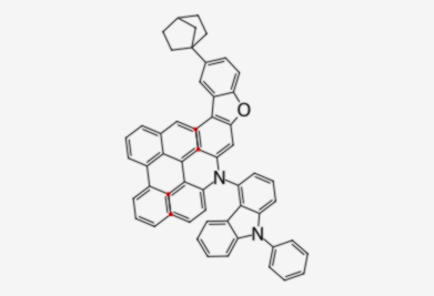 c1ccc(-c2cccc3cccc(-c4ccccc4N(c4ccc5c(c4)oc4ccc(C67CCC(CC6)C7)cc45)c4cccc5c4c4ccccc4n5-c4ccccc4)c23)cc1